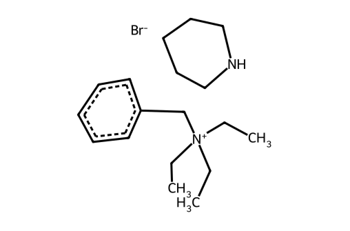 C1CCNCC1.CC[N+](CC)(CC)Cc1ccccc1.[Br-]